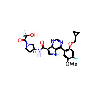 COc1cc(-c2ncnc3c(C(=O)N[C@@H]4CCN(C(=O)[C@H](C)O)C4)c[nH]c23)c(OCC2CC2)cc1F